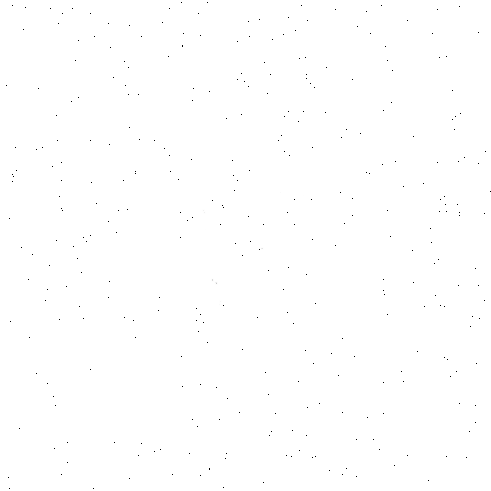 CC(=O)OC1=C(NC(=O)O)OC(C)(c2ccc(Cl)c(Cl)c2)C1=O